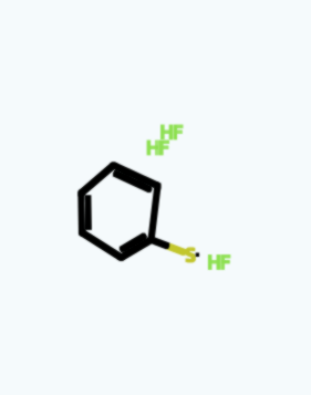 F.F.F.[S]c1ccccc1